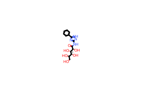 O=C(Nc1n[nH]c(-c2ccccc2)n1)[C@H](O)[C@@H](O)[C@H](O)[C@H](O)CO